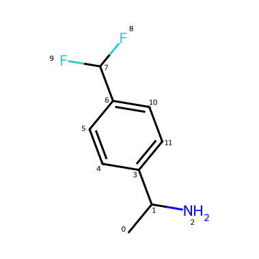 CC(N)c1ccc(C(F)F)cc1